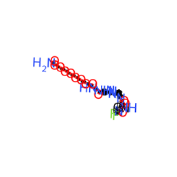 N#C[C@@H]1CC(F)(F)CN1C(=O)[C@@H]1C[C@@H](CC(=O)N2Cc3cccc(Cn4cc(-c5ccc(C(=O)NCCNC(=O)CCOCCOCCOCCOCCOCCOCCOC(N)=O)cc5)nn4)c3C2)C(=O)N1